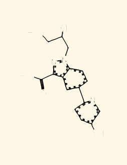 CCC(C)Cn1nc(C(C)=O)c2cc(-c3ccc(C)cn3)ccc21